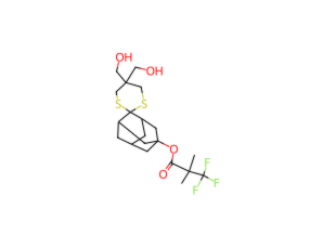 CC(C)(C(=O)OC12CC3CC(C1)C1(SCC(CO)(CO)CS1)C(C3)C2)C(F)(F)F